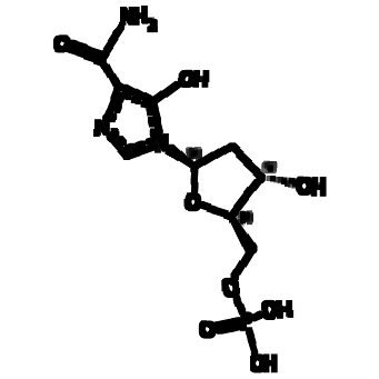 NC(=O)c1ncn([C@H]2C[C@H](O)[C@@H](COP(=O)(O)O)O2)c1O